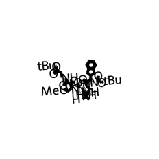 COCC(NC(=O)[C@@H]1[C@@H]2[C@H](CN1C(=O)[C@@H](NC(=O)OC(C)(C)C)C1Cc3ccccc3C1)C2(C)C)C(=O)C(=O)NCCC(=O)OC(C)(C)C